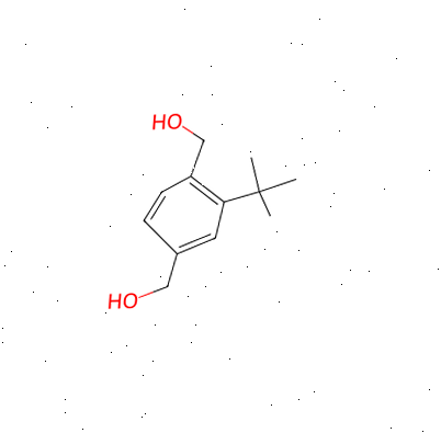 CC(C)(C)c1cc(CO)ccc1CO